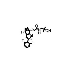 CC(C)(O)CNC(=O)CO[C@@]12CC[C@@H](c3cc(-c4c(F)cccc4F)nnc31)C2(C)C